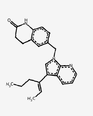 C/C=C(\CCC)c1cn(Cc2ccc3c(c2)CCC(=O)N3)c2ncccc12